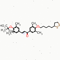 Cc1cc(C(=O)/C=C/c2cc(C)c(OC(C)(C)C(=O)O)c(C)c2)cc(C)c1OCCCCCC1CCSS1